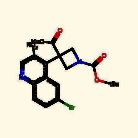 COC(=O)C1(c2c([N+](=O)[O-])cnc3ccc(Br)cc23)CN(C(=O)OC(C)(C)C)C1